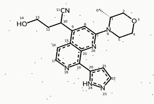 C[C@@H]1COCCN1c1cc(C(C#N)CCO)c2ccnc(-c3ccn[nH]3)c2n1